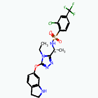 CCn1c(Oc2ccc3c(c2)NCC3)nnc1[C@@H](C)NS(=O)(=O)c1ccc(C(F)(F)F)cc1Cl